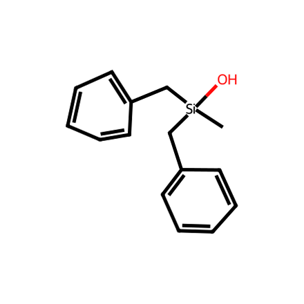 C[Si](O)(Cc1ccccc1)Cc1ccccc1